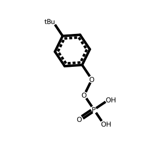 CC(C)(C)c1ccc(OOP(=O)(O)O)cc1